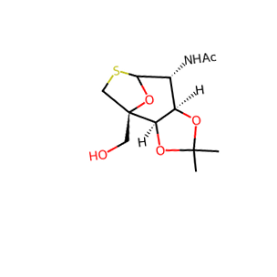 CC(=O)N[C@H]1C2O[C@@](CO)(CS2)[C@@H]2OC(C)(C)O[C@@H]21